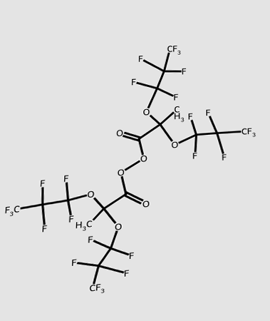 CC(OC(F)(F)C(F)(F)C(F)(F)F)(OC(F)(F)C(F)(F)C(F)(F)F)C(=O)OOC(=O)C(C)(OC(F)(F)C(F)(F)C(F)(F)F)OC(F)(F)C(F)(F)C(F)(F)F